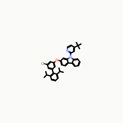 CC(C)c1cccc(C(C)C)c1-c1cc(Cl)cc(Oc2ccc3c4ccccc4n(-c4cc(C(C)(C)C)ccn4)c3c2)c1